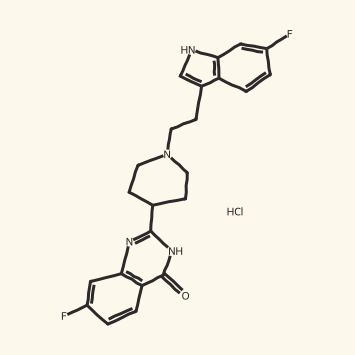 Cl.O=c1[nH]c(C2CCN(CCc3c[nH]c4cc(F)ccc34)CC2)nc2cc(F)ccc12